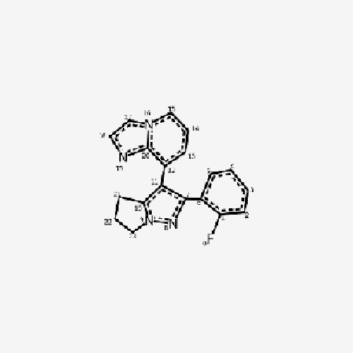 Fc1ccccc1-c1nn2c(c1-c1cccn3ccnc13)CCC2